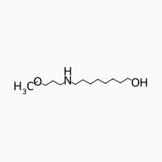 COCCCNCCCCCCCCO